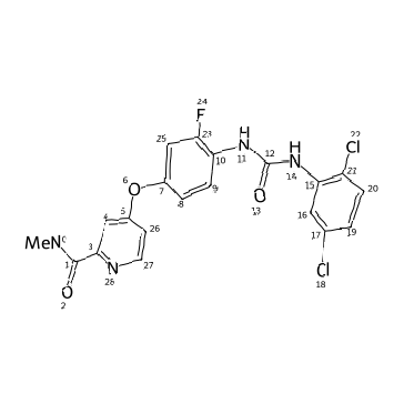 CNC(=O)c1cc(Oc2ccc(NC(=O)Nc3cc(Cl)ccc3Cl)c(F)c2)ccn1